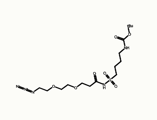 CC(C)(C)OC(=O)NCCCCS(=O)(=O)NC(=O)CCOCCOCCN=[N+]=[N-]